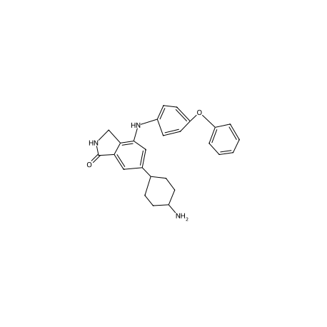 NC1CCC(c2cc(Nc3ccc(Oc4ccccc4)cc3)c3c(c2)C(=O)NC3)CC1